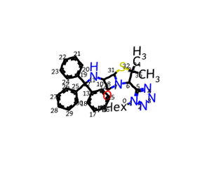 CCCCCCn1nnnc1C1N2C(=O)C(NC(c3ccccc3)(c3ccccc3)c3ccccc3)C2SC1(C)C